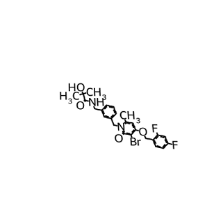 Cc1cc(OCc2ccc(F)cc2F)c(Br)c(=O)n1Cc1cccc(CNC(=O)C(C)(C)O)c1